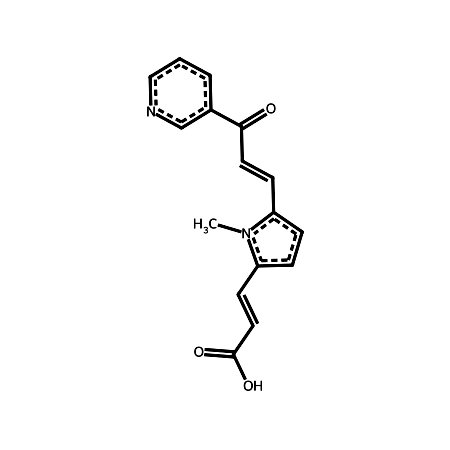 Cn1c(/C=C/C(=O)O)ccc1/C=C/C(=O)c1cccnc1